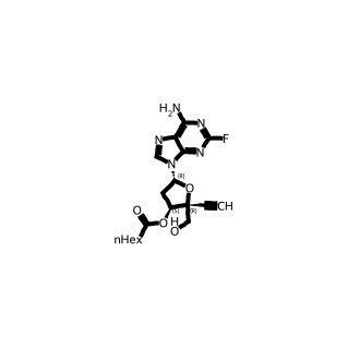 C#C[C@]1(CO)O[C@@H](n2cnc3c(N)nc(F)nc32)C[C@@H]1OC(=O)CCCCCC